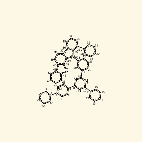 c1ccc(-c2ccc(-c3nc(-c4ccccc4)nc(-c4cccc(-n5c6c(-c7ccccc7)cccc6c6ccc7c8ccccc8oc7c65)c4)n3)cc2)cc1